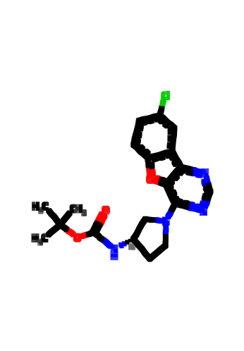 CC(C)(C)OC(=O)N[C@H]1CCN(c2ncnc3c2oc2ccc(Cl)cc23)C1